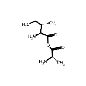 CC[C@H](C)[C@H](N)C(=O)OC(=O)[C@H](C)N